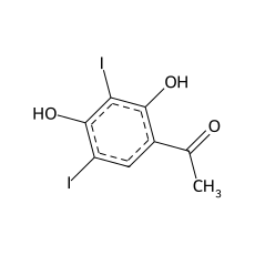 CC(=O)c1cc(I)c(O)c(I)c1O